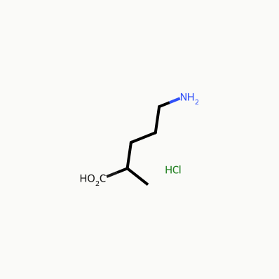 CC(CCCN)C(=O)O.Cl